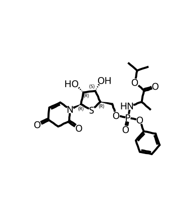 CC(C)OC(=O)C(C)NP(=O)(OC[C@H]1S[C@@H](N2C=CC(=O)CC2=O)[C@H](O)[C@@H]1O)Oc1ccccc1